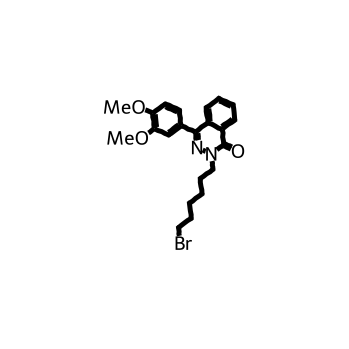 COc1ccc(-c2nn(CCCCCCBr)c(=O)c3ccccc23)cc1OC